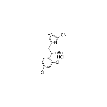 CCCCC(Cc1c[nH]c(C#N)n1)c1ccc(Cl)cc1Cl.Cl